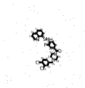 O=C(c1ccc(NSc2cccc3cccnc23)c(F)c1)N1CCN(Cc2ccc(Cl)c(Cl)c2)CC1